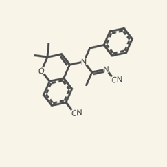 C/C(=N\C#N)N(Cc1ccccc1)C1=CC(C)(C)Oc2ccc(C#N)cc21